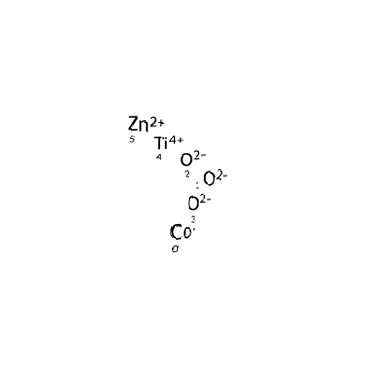 [Co].[O-2].[O-2].[O-2].[Ti+4].[Zn+2]